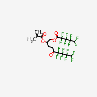 C=C(C)C(=O)OC(CCC(=O)C(F)(F)C(F)(F)C(F)(F)C(F)F)COC(=O)C(F)(F)C(F)(F)C(F)(F)C(F)F